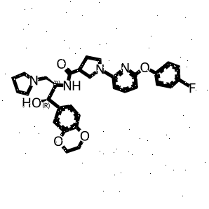 O=C(N[C@H](CN1CCCC1)[C@H](O)c1ccc2c(c1)OCCO2)C1CCN(c2cccc(Oc3ccc(F)cc3)n2)C1